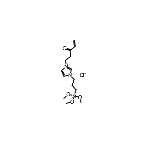 C=CC(=O)CC[n+]1ccn(CCC[Si](OC)(OC)OC)c1.[Cl-]